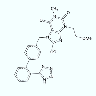 CCCc1nc2c(c(=O)n(C)c(=O)n2CCOC)n1Cc1ccc(-c2ccccc2-c2nnn[nH]2)cc1